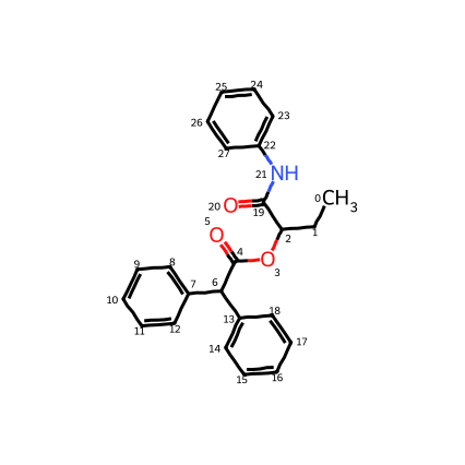 CCC(OC(=O)C(c1ccccc1)c1ccccc1)C(=O)Nc1ccccc1